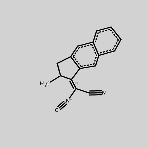 [C-]#[N+]/C(C#N)=C1/c2cc3ccccc3cc2CC1C